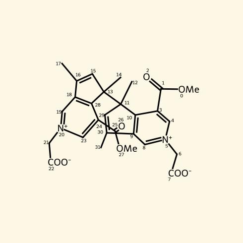 COC(=O)c1c[n+](CC(=O)[O-])cc2c1C(C)(C1(C)C=C(C)c3c[n+](CC(=O)[O-])cc(C(=O)OC)c31)C=C2C